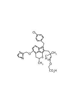 CC1Cc2c(OCc3nccs3)ccc3c2c(c(CC(C)(C)C=NOCC(=O)O)n3Cc2ccc(Cl)cc2)S1